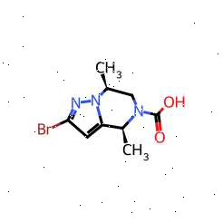 C[C@H]1c2cc(Br)nn2[C@@H](C)CN1C(=O)O